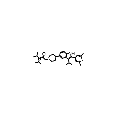 Cc1cc(-c2[nH]c3ccc(C4CCN(CC(=O)N(C(C)C)C(C)C)CC4)cc3c2C(C)C)cc(C)n1